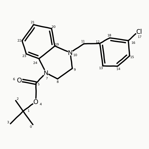 CC(C)(C)OC(=O)N1CCN(Cc2cccc(Cl)c2)c2ccccc21